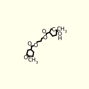 CC1(O)CCC(C(=O)OCCCOC(=O)C2CCC3(C)OC3C2)CC1